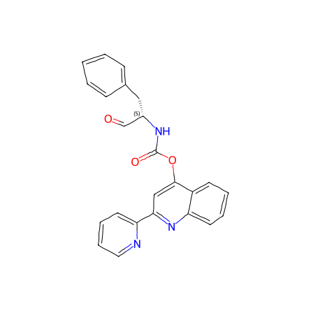 O=C[C@H](Cc1ccccc1)NC(=O)Oc1cc(-c2ccccn2)nc2ccccc12